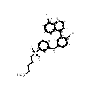 O=C(O)CCCCS(=O)(=O)c1cccc(Oc2ccc(F)c(-c3ncnc4c(C(F)(F)F)cccc34)c2)c1